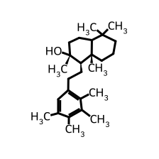 Cc1cc(CC[C@@H]2[C@@]3(C)CCCC(C)(C)C3CC[C@@]2(C)O)c(C)c(C)c1C